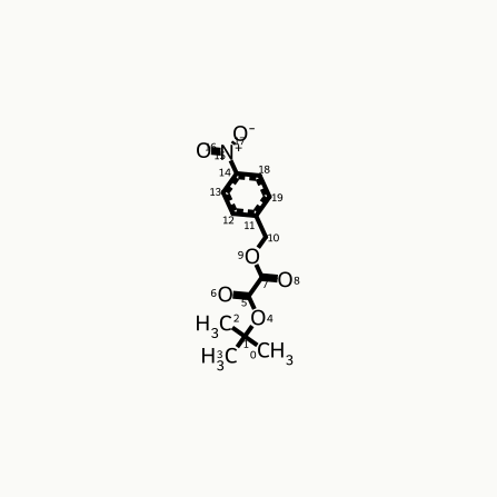 CC(C)(C)OC(=O)C(=O)OCc1ccc([N+](=O)[O-])cc1